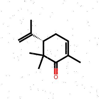 C=C(C)[C@@H]1CC=C(C)C(=O)C1(C)C